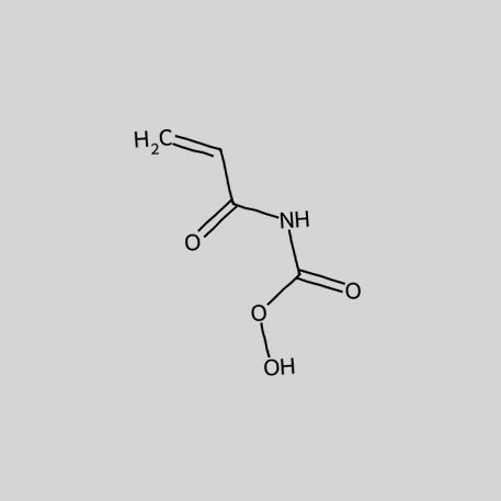 C=CC(=O)NC(=O)OO